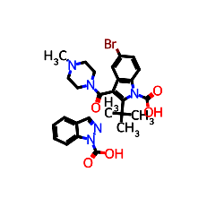 CN1CCN(C(=O)c2c(C(C)(C)C)n(C(=O)O)c3ccc(Br)cc23)CC1.O=C(O)n1ncc2ccccc21